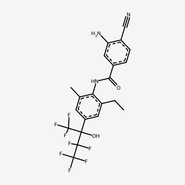 CCc1cc(C(O)(C(F)(F)F)C(F)(F)C(F)(F)F)cc(C)c1NC(=O)c1ccc(C#N)c(N)c1